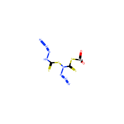 [N-]=[N+]=NNC(=S)SN(N=[N+]=[N-])C(=S)[S][Mo](=[O])=[O]